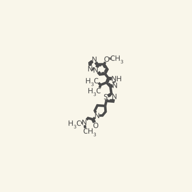 COc1cc(-c2[nH]nc(-c3ncc(C4CCN(C(=O)CN(C)C)CC4)s3)c2C(C)C)cn2ncnc12